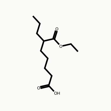 CCCC(CCCCC(=O)O)C(=O)OCC